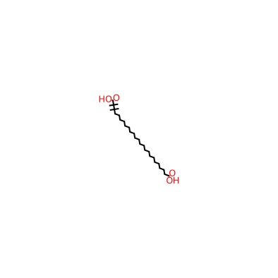 CC(C)(CCCCCCCCCCCCCCCCCCCCCC(=O)O)C(C)(C)C(=O)O